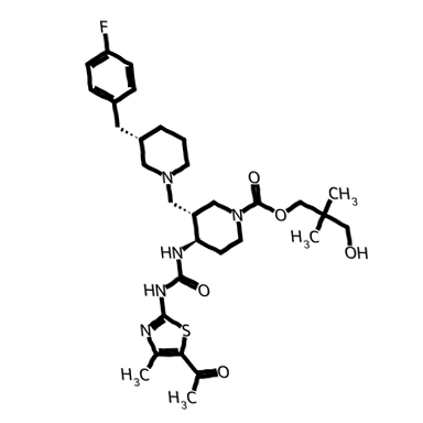 CC(=O)c1sc(NC(=O)N[C@@H]2CCN(C(=O)OCC(C)(C)CO)C[C@H]2CN2CCC[C@@H](Cc3ccc(F)cc3)C2)nc1C